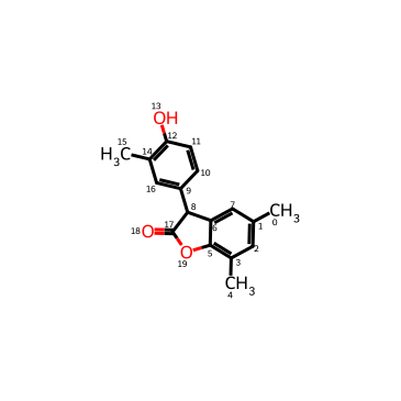 Cc1cc(C)c2c(c1)C(c1ccc(O)c(C)c1)C(=O)O2